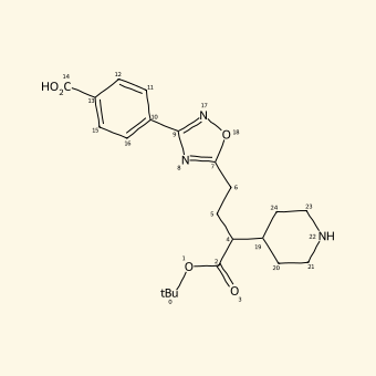 CC(C)(C)OC(=O)C(CCc1nc(-c2ccc(C(=O)O)cc2)no1)C1CCNCC1